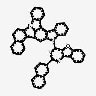 c1ccc2cc(-c3nc(-n4c5ccccc5c5c6c7ccccc7n7c8ccc9ccccc9c8c(cc54)c67)c4oc5ccccc5c4n3)ccc2c1